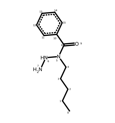 CCCCCN(NN)C(=O)c1ccccc1